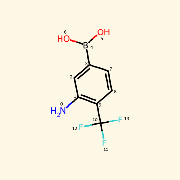 Nc1cc(B(O)O)ccc1C(F)(F)F